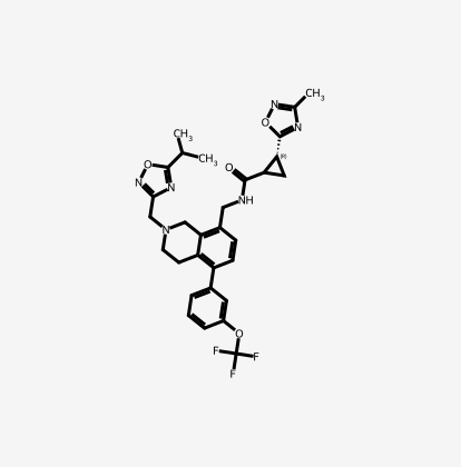 Cc1noc([C@@H]2CC2C(=O)NCc2ccc(-c3cccc(OC(F)(F)F)c3)c3c2CN(Cc2noc(C(C)C)n2)CC3)n1